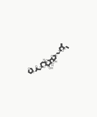 C=C1C[C@H](CC[C@@H]2C[C@H]3O[C@@H]4C(O[C@H]5CC[C@H](CC(=O)C[C@@H]6CCOC6)OC5[C@@H]4O)C3O2)O[C@H]1CC